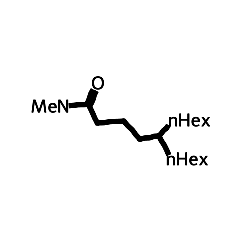 CCCCCCC(CCCCCC)CCCC(=O)NC